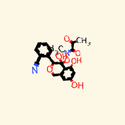 CC(=O)C(=O)N(C)OC1(O)c2c(O)cc(O)cc2COC1c1ccccc1C#N